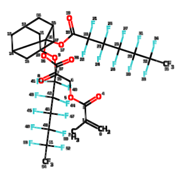 C=C(C)C(=O)OCC(=O)OC12CC3CC(C1)C(OC(=O)C(F)(F)C(F)(F)C(F)(F)C(F)(F)C(F)(F)C(F)(F)F)(OC(=O)C(F)(F)C(F)(F)C(F)(F)C(F)(F)C(F)(F)C(F)(F)F)C(C3)C2